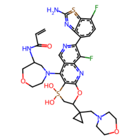 C=CC(=O)NC1COCCN(c2c3c(nc4c(F)c(-c5ccc(F)c6sc(N)nc56)ncc24)OC(C2(CN4CCOCC4)CC2)CS3(O)O)C1